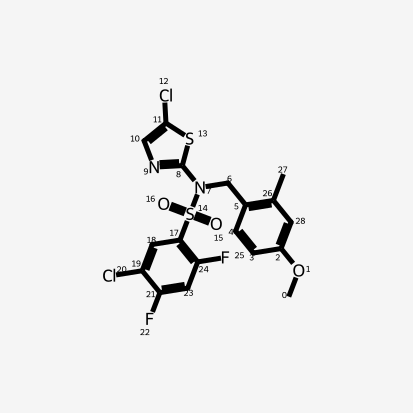 COc1ccc(CN(c2ncc(Cl)s2)S(=O)(=O)c2cc(Cl)c(F)cc2F)c(C)c1